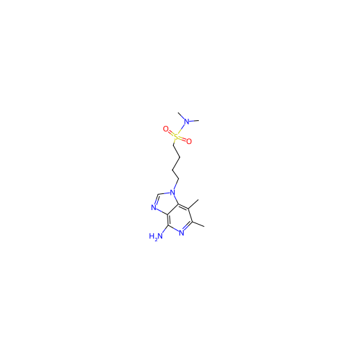 Cc1nc(N)c2ncn(CCCCS(=O)(=O)N(C)C)c2c1C